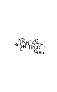 C[C@@H]1OCC2(CCN(c3nc(Cl)c(Br)c4nccn34)CC2)[C@@H]1NC(=O)OC(C)(C)C